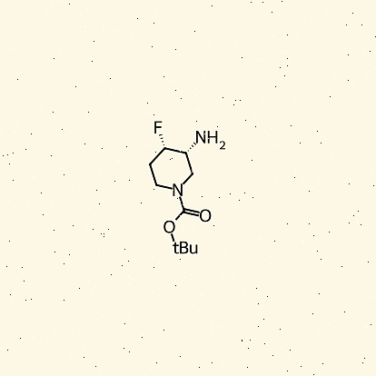 CC(C)(C)OC(=O)N1CC[C@H](F)[C@H](N)C1